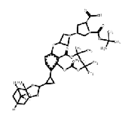 CC(C)(C)OC(=O)Oc1c(C2CC2C2OC3C[C@@H]4C[C@@H](C4(C)C)[C@]3(C)O2)ccc(OC2CN([C@H]3C[C@@H](C(=O)O)N(C(=O)OC(C)(C)C)C3)C2)c1C(=O)OC(C)(C)C